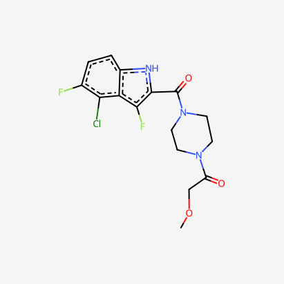 COCC(=O)N1CCN(C(=O)c2[nH]c3ccc(F)c(Cl)c3c2F)CC1